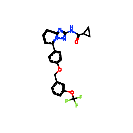 O=C(Nc1nc2cccc(-c3ccc(OCc4cccc(OC(F)(F)F)c4)cc3)n2n1)C1CC1